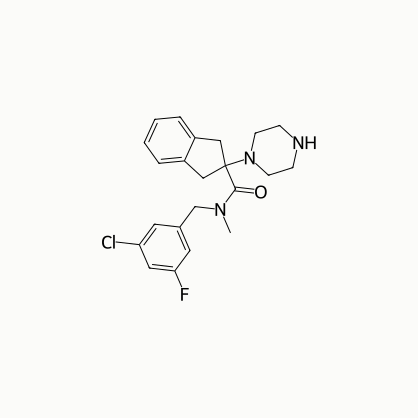 CN(Cc1cc(F)cc(Cl)c1)C(=O)C1(N2CCNCC2)Cc2ccccc2C1